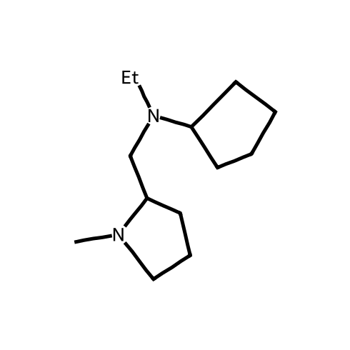 CCN(CC1CCCN1C)C1CCCC1